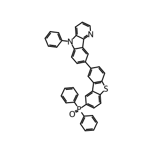 O=P(c1ccccc1)(c1ccccc1)c1ccc2sc3ccc(-c4ccc5c(c4)c4ncccc4n5-c4ccccc4)cc3c2c1